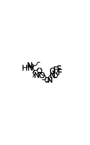 CCCc1cn[nH]c1-c1cc(C)nc2c(OCc3c(C)ccnc3Cn3cccc(C(F)(F)F)c3=O)cccc12